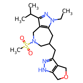 CCn1nc(C(C)C)c2c1CC(Cc1n[nH]c3c1COC3)CN(S(C)(=O)=O)C2